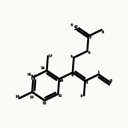 C=C/C(C)=C(\CCC(C)=S)c1ccc(C)nc1C